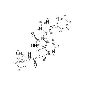 C[C@H]1CCC[C@H]1NC(=O)c1sc2nccc3c2c1NC(=O)N3c1cc(-c2ccccc2)ncn1